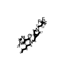 CCCCCN(CC1C2CN(CCC(F)(F)F)CC21)C(=O)c1cn(C)cn1